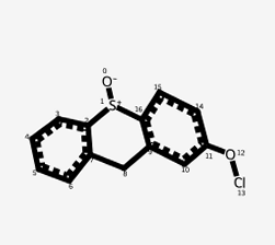 [O-][S+]1c2ccccc2Cc2cc(OCl)ccc21